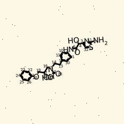 Nc1nc(C(O)C(=O)Nc2ccc(CCN(CC(O)COc3ccccc3)C(=O)O)cc2)cs1